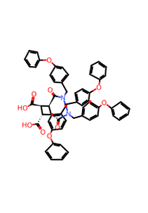 O=C(O)[C@@H]1[C@@H](C(=O)O)[C@@H](C(=O)N(Cc2ccc(Oc3ccccc3)cc2)Cc2ccc(Oc3ccccc3)cc2)[C@@H]1C(=O)N(Cc1ccc(Oc2ccccc2)cc1)Cc1ccc(Oc2ccccc2)cc1